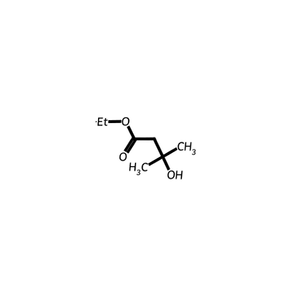 C[CH]OC(=O)CC(C)(C)O